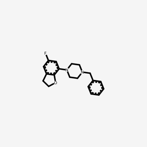 Fc1cc2c(c(N3CCN(Cc4ccccc4)CC3)c1)OCC2